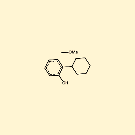 COC.Oc1ccccc1C1CCCCC1